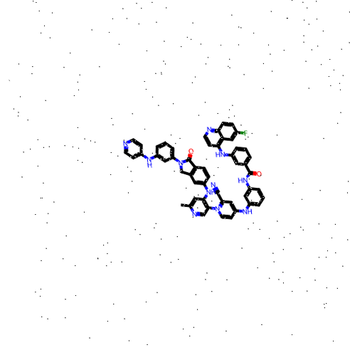 Cc1cc(Nc2ccc3c(c2)CN(c2cccc(Nc4ccncc4)c2)C3=O)c(-[n+]2ccc(Nc3cccc(NC(=O)c4cccc(Nc5ccnc6ccc(F)cc56)c4)c3)cc2C#N)cn1